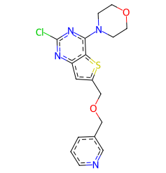 Clc1nc(N2CCOCC2)c2sc(COCc3cccnc3)cc2n1